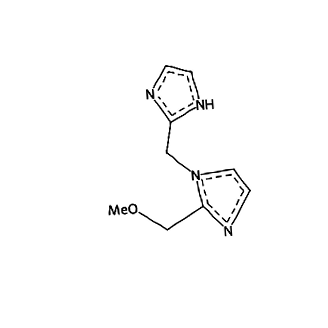 COCc1nccn1Cc1ncc[nH]1